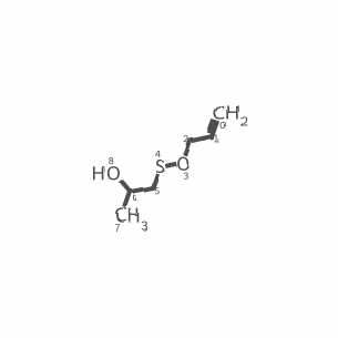 C=CCOSCC(C)O